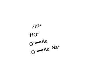 CC(=O)[O-].CC(=O)[O-].[Na+].[OH-].[Zn+2]